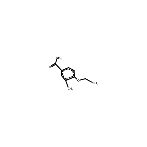 Cc1cc(C(N)=O)ccc1OCN